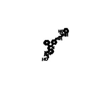 O=C(CCNCc1ccc(-c2nc3ccn4c(CO)nnc4c3cc2-c2ccccc2)cc1)Nc1ccccc1O